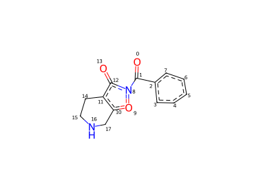 O=C(c1ccccc1)n1oc2c(c1=O)CCNC2